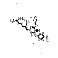 C=CCOC(=O)N/C(=N\C/C=C(\C)CCC=C(C)C)Nc1ccc(C=O)cc1